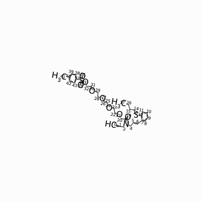 C#CCN(C/C=C/c1ccccc1SCCCC)C(=O)COCCOCCOCCOCCOS(=O)(=O)c1ccc(C)cc1